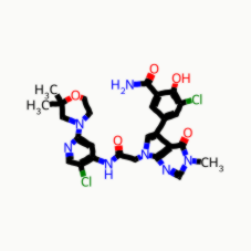 Cn1cnc2c(c(-c3cc(Cl)c(O)c(C(N)=O)c3)cn2CC(=O)Nc2cc(N3CCOC(C)(C)C3)ncc2Cl)c1=O